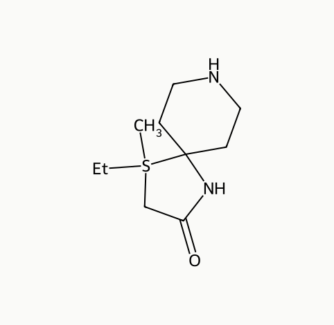 CCS1(C)CC(=O)NC12CCNCC2